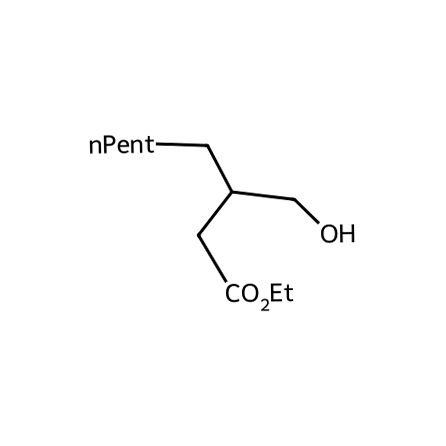 CCCCCCC(CO)CC(=O)OCC